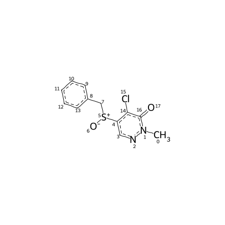 Cn1ncc([S+]([O-])Cc2ccccc2)c(Cl)c1=O